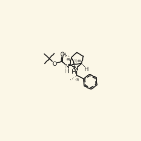 C[C@@H](c1ccccc1)N1C[C@H]2CC[C@@H]1[C@@H]2NC(=O)OC(C)(C)C